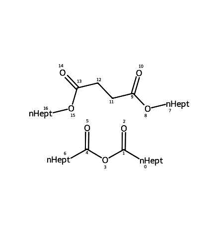 CCCCCCCC(=O)OC(=O)CCCCCCC.CCCCCCCOC(=O)CCC(=O)OCCCCCCC